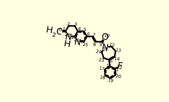 C=C1CCc2cc(/C=C/C(=O)N3CCC=C(c4ccccc4F)CC3)cnc2N1